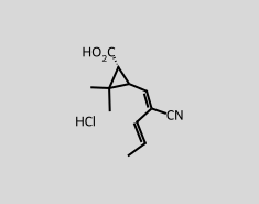 CC=CC(C#N)=CC1[C@@H](C(=O)O)C1(C)C.Cl